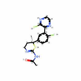 CC(=O)NC1=NCC[C@@](C)(c2ccc(F)c(-c3nccnc3F)c2)S1